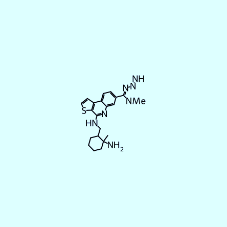 CN/C(=N\N=N)c1ccc2c(c1)nc(NCC1CCCCC1(C)N)c1sccc12